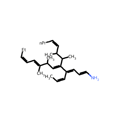 C\C=C/C(=C\C=C\N)C(=C/C(C)/C(C)=C/C=C\CC)/C(C)C(C)/C=C\CCC